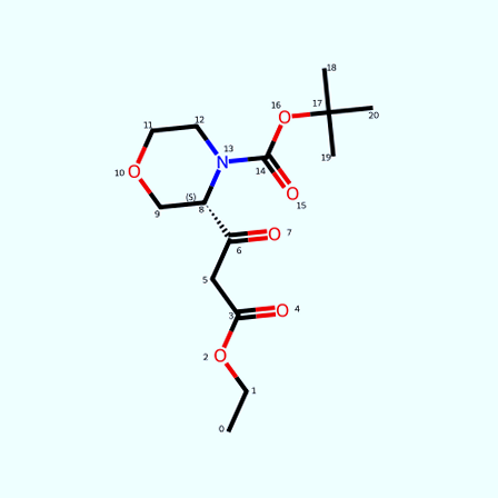 CCOC(=O)CC(=O)[C@@H]1COCCN1C(=O)OC(C)(C)C